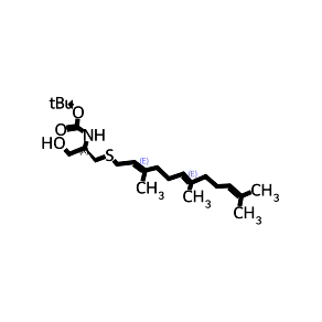 CC(C)=CCC/C(C)=C/CC/C(C)=C/CSC[C@@H](CO)NC(=O)OC(C)(C)C